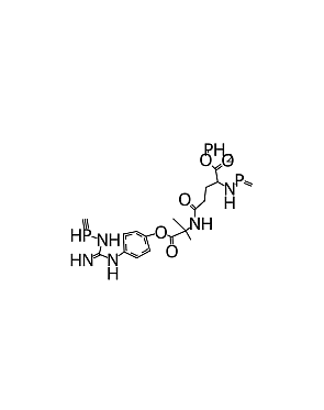 C#[PH]NC(=N)Nc1ccc(OC(=O)C(C)(C)NC(=O)CCC(NP=C)C(=O)OP)cc1